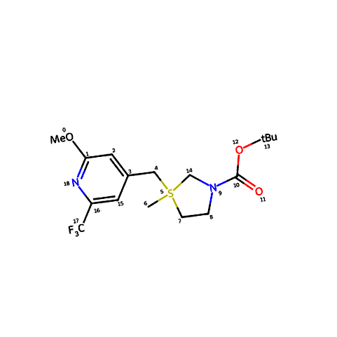 COc1cc(CS2(C)CCN(C(=O)OC(C)(C)C)C2)cc(C(F)(F)F)n1